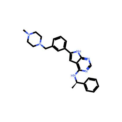 C[C@@H](Nc1ncnc2[nH]c(-c3cccc(CN4CCN(C)CC4)c3)cc12)c1ccccc1